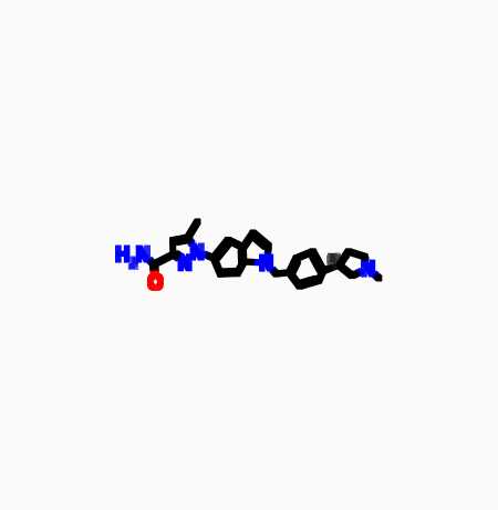 Cc1cc(C(N)=O)nn1-c1ccc2c(ccn2Cc2ccc([C@H]3CCN(C)C3)cc2)c1